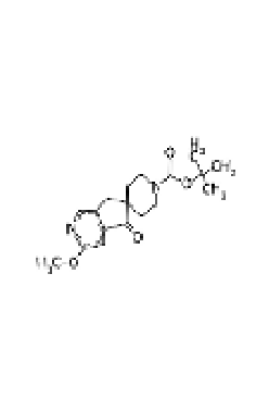 COc1cc2c(cn1)CC1(CCN(C(=O)OC(C)(C)C)CC1)C2=O